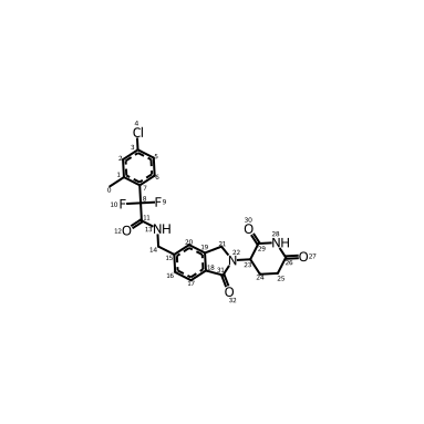 Cc1cc(Cl)ccc1C(F)(F)C(=O)NCc1ccc2c(c1)CN(C1CCC(=O)NC1=O)C2=O